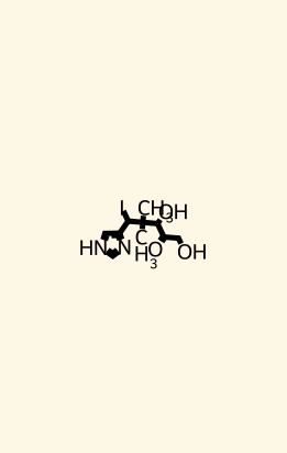 CC(C)(C(O)C(=O)CO)C(I)c1c[nH]cn1